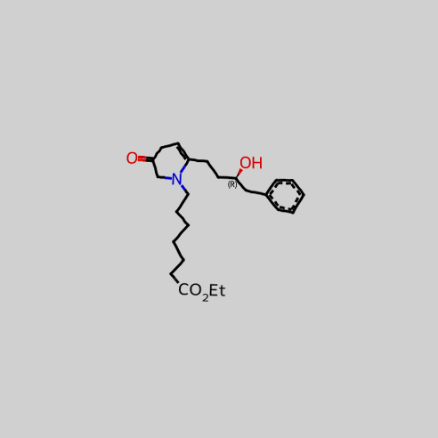 CCOC(=O)CCCCCCN1CC(=O)CC=C1CC[C@@H](O)Cc1ccccc1